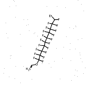 C=COC(F)(F)C(F)(F)C(F)(F)C(F)(F)C(F)(F)C(F)(F)C(F)(F)C(F)(F)C(F)(F)C(F)CC